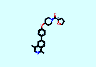 Cc1cnc(C)c2ccc(-c3ccc(OC4CCN(C(=O)[C@H]5CCCO5)CC4)cc3)cc12